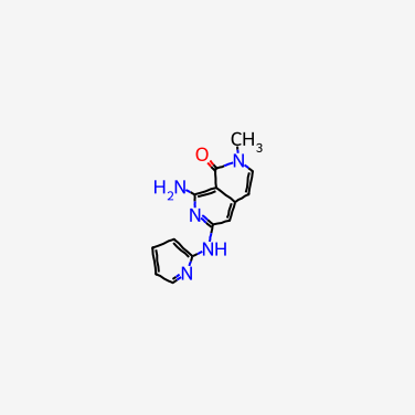 Cn1ccc2cc(Nc3ccccn3)nc(N)c2c1=O